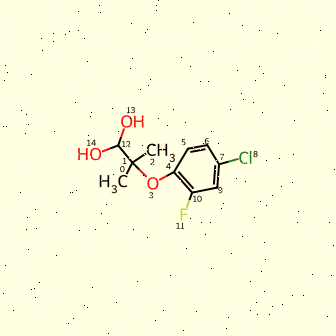 CC(C)(Oc1ccc(Cl)cc1F)C(O)O